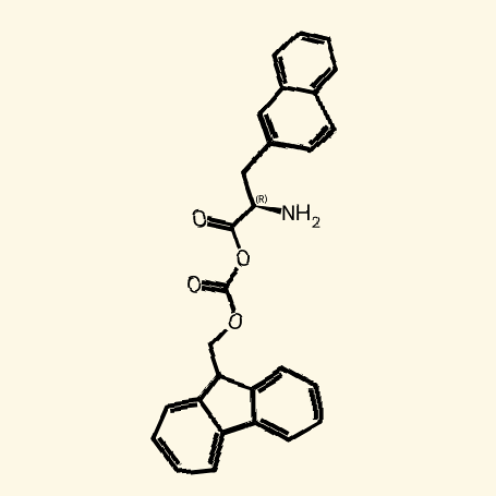 N[C@H](Cc1ccc2ccccc2c1)C(=O)OC(=O)OCC1c2ccccc2-c2ccccc21